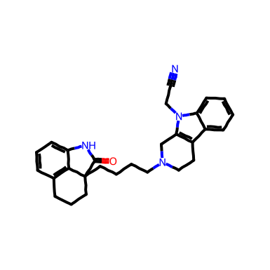 N#CCn1c2c(c3ccccc31)CCN(CCCCC13CCCc4cccc(c41)NC3=O)C2